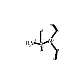 CCN(CC)[Si](C)(C)[SiH3]